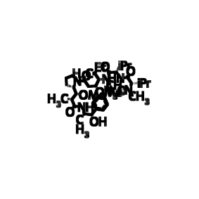 C=C(CC)[C@@H]([C@@H](CC(=O)N1CCC[C@H]1[C@H](OC)[C@@H](C)C(=O)N[C@H](C)[C@@H](O)c1ccccc1)OC)N(C)C(=O)[C@@H](NC(=O)[C@H](C(C)C)N(C)C)C(C)C